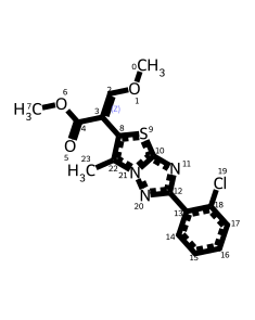 CO/C=C(/C(=O)OC)c1sc2nc(-c3ccccc3Cl)nn2c1C